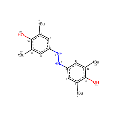 CC(C)(C)c1cc(NNc2cc(C(C)(C)C)c(O)c(C(C)(C)C)c2)cc(C(C)(C)C)c1O